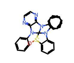 [O-][S+]1c2ccccc2N(c2ccccc2)C12N(c1ccccc1)c1nccnc1N2c1ccccc1